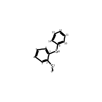 CSc1ccccc1Sc1ccccc1